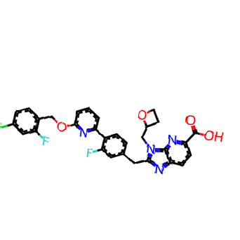 O=C(O)c1ccc2nc(Cc3ccc(-c4cccc(OCc5ccc(Cl)cc5F)n4)c(F)c3)n(CC3CCO3)c2n1